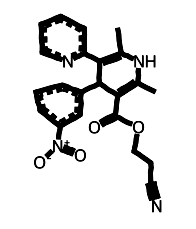 CC1=C(C(=O)OCCC#N)C(c2cccc([N+](=O)[O-])c2)C(c2ccccn2)=C(C)N1